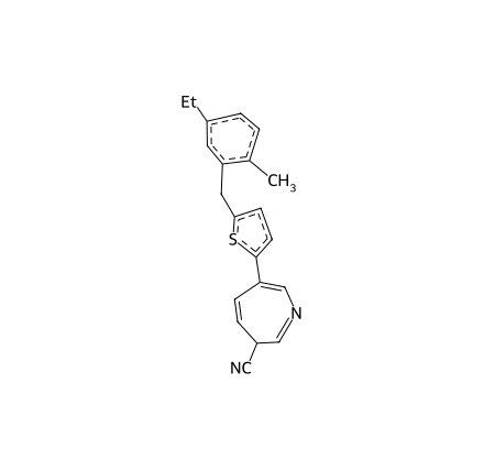 CCc1ccc(C)c(Cc2ccc(C3=CN=CC(C#N)C=C3)s2)c1